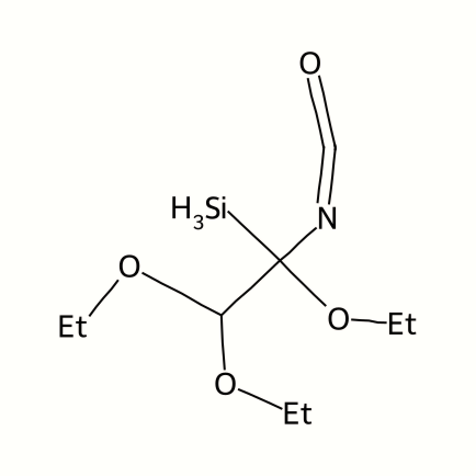 CCOC(OCC)C([SiH3])(N=C=O)OCC